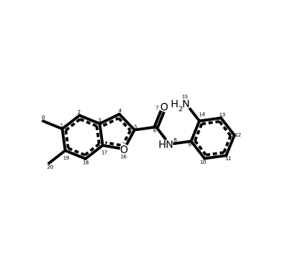 Cc1cc2cc(C(=O)Nc3ccccc3N)oc2cc1C